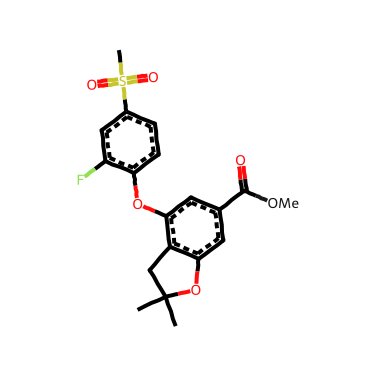 COC(=O)c1cc(Oc2ccc(S(C)(=O)=O)cc2F)c2c(c1)OC(C)(C)C2